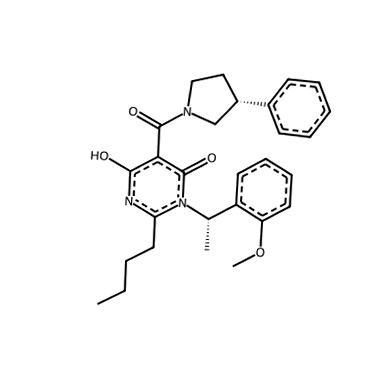 CCCCc1nc(O)c(C(=O)N2CC[C@H](c3ccccc3)C2)c(=O)n1[C@@H](C)c1ccccc1OC